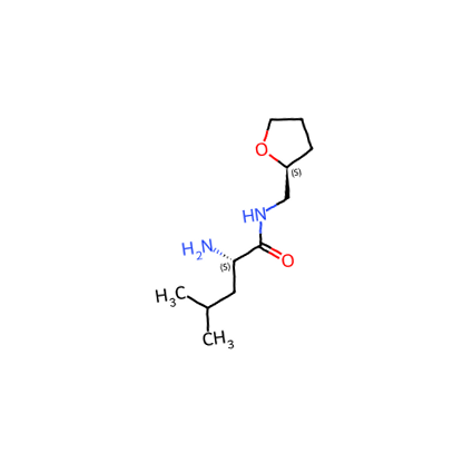 CC(C)C[C@H](N)C(=O)NC[C@@H]1CCCO1